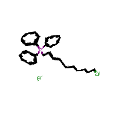 ClCCCCCCCC=CC[P+](c1ccccc1)(c1ccccc1)c1ccccc1.[Br-]